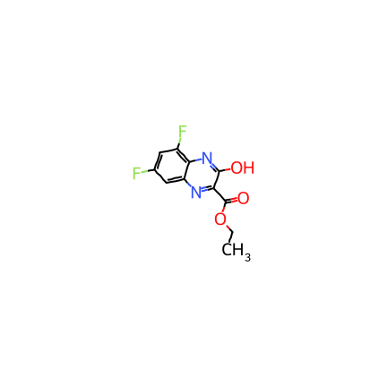 CCOC(=O)c1nc2cc(F)cc(F)c2nc1O